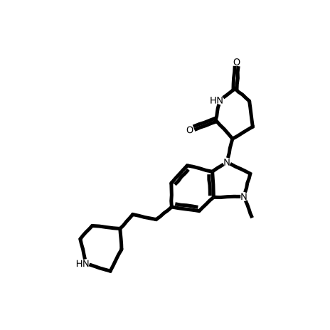 CN1CN(C2CCC(=O)NC2=O)c2ccc(CCC3CCNCC3)cc21